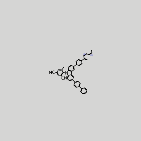 C=C(/C=C\C=C/C)c1ccc(-c2ccc3c(c2)c2cc(-c4ccc(-c5ccccc5)cc4)ccc2n3-c2c(C)cc(C#N)cc2C#N)cc1